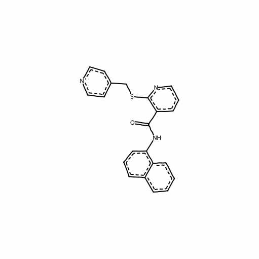 O=C(Nc1cccc2ccccc12)c1cccnc1SCc1ccncc1